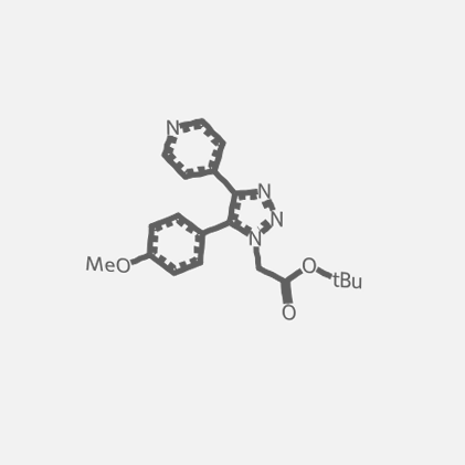 COc1ccc(-c2c(-c3ccncc3)nnn2CC(=O)OC(C)(C)C)cc1